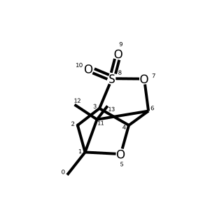 CC12CC3C(O1)C(OS3(=O)=O)C2(C)C